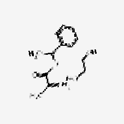 C=C(C)C(=O)OC(C)c1ccccc1.OCCO